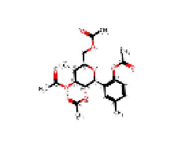 CC(=O)OC[C@H]1O[C@@H](c2cc(C)ccc2OC(C)=O)[C@H](OC(C)=O)[C@@H](OC(C)=O)[C@@H]1C